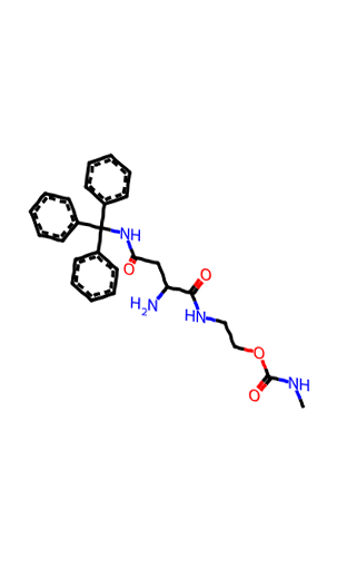 CNC(=O)OCCNC(=O)C(N)CC(=O)NC(c1ccccc1)(c1ccccc1)c1ccccc1